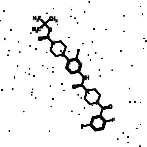 CC(C)(C)OC(=O)N1CCN(c2ccc(NC(=O)N3CCN(C(=O)c4cc(F)ccc4F)CC3)cc2F)CC1